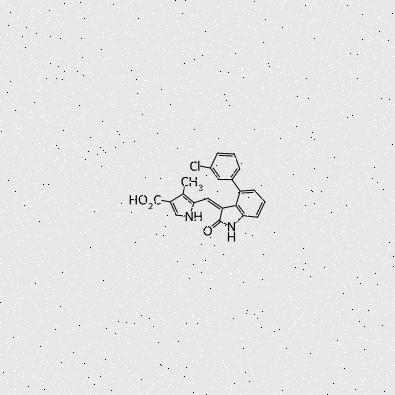 Cc1c(C(=O)O)c[nH]c1C=C1C(=O)Nc2cccc(-c3cccc(Cl)c3)c21